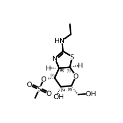 CCNC1=N[C@@H]2[C@@H](OS(C)(=O)=O)[C@@H](O)[C@@H](CO)O[C@@H]2S1